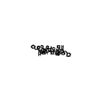 CC(OC(=O)[C@@H]1N2C(=O)C(NC(=O)Cc3ccccc3)[C@H]2SC1(C)C)OC(=O)[C@@H]1N2C(=O)C(NC(=O)Cc3ccccc3)[C@H]2SC1(C)C